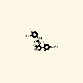 COc1cc(F)c([C@@H]2CNC(=O)[C@H]2NC(=O)Nc2ccc(F)c(C)c2)c(F)c1